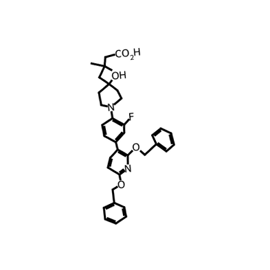 CC(C)(CC(=O)O)CC1(O)CCN(c2ccc(-c3ccc(OCc4ccccc4)nc3OCc3ccccc3)cc2F)CC1